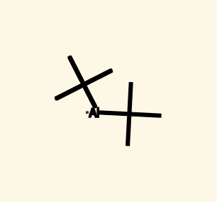 C[C](C)(C)[Al][C](C)(C)C